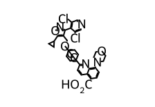 O=C(O)c1ccc(N2CCOCC2)c2nc(C34CCC(OCc5c(-c6c(Cl)cncc6Cl)noc5C5CC5)(CC3)CC4)ccc12